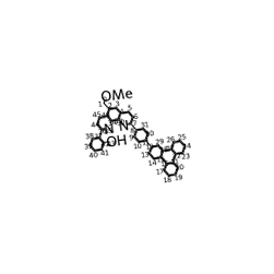 COCc1cc2ccc(-c3ccc(-c4ccc5c6ccccc6c6ccccc6c5c4)cc3)nc2c2nc(-c3ccccc3O)ccc12